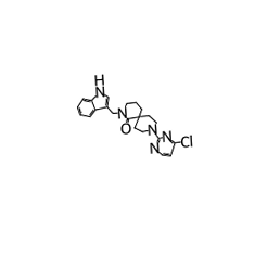 O=C1N(Cc2c[nH]c3ccccc23)CCCC12CCN(c1nccc(Cl)n1)CC2